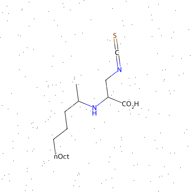 CCCCCCCCCCCC(C)NC(CN=C=S)C(=O)O